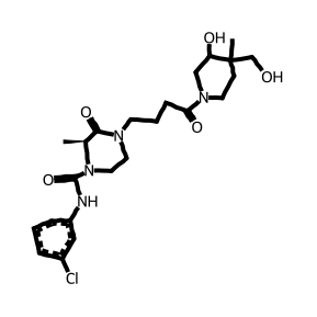 C[C@H]1C(=O)N(CCCC(=O)N2CCC(C)(CO)C(O)C2)CCN1C(=O)Nc1cccc(Cl)c1